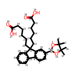 CC1(C)OB(c2ccc3c(c2)C(CCCCCC(=O)O)(CCCCCC(=O)O)c2ccccc2-3)OC1(C)C